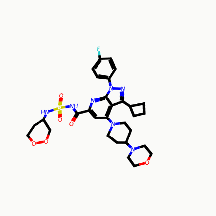 O=C(NS(=O)(=O)NC1CCOOC1)c1cc(N2CCC(N3CCOCC3)CC2)c2c(C3CCC3)nn(-c3ccc(F)cc3)c2n1